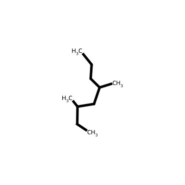 C[CH]C(C)CC(C)CCC